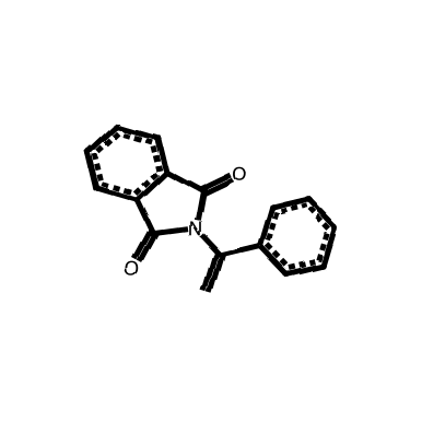 C=C(c1ccccc1)N1C(=O)c2ccccc2C1=O